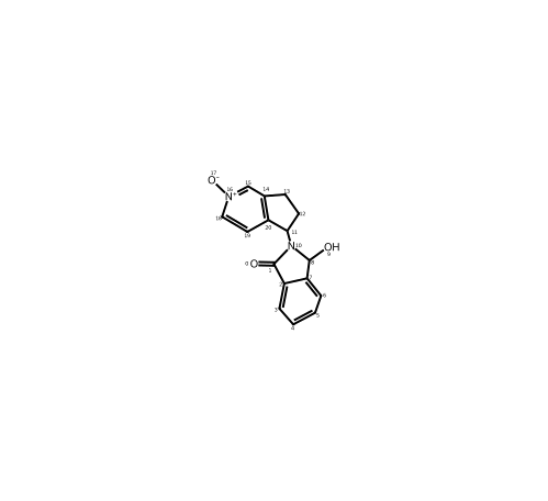 O=C1c2ccccc2C(O)N1C1CCc2c[n+]([O-])ccc21